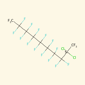 FC(F)(F)C(F)(F)C(F)(F)C(F)(F)C(F)(F)C(F)(F)C(F)(F)C(F)(F)[Si](Cl)(Cl)C(F)(F)F